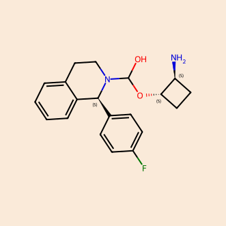 N[C@H]1CC[C@@H]1OC(O)N1CCc2ccccc2[C@@H]1c1ccc(F)cc1